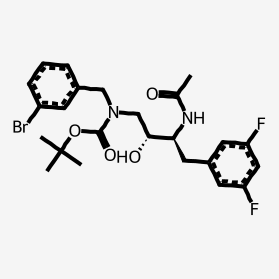 CC(=O)N[C@@H](Cc1cc(F)cc(F)c1)[C@H](O)CN(Cc1cccc(Br)c1)C(=O)OC(C)(C)C